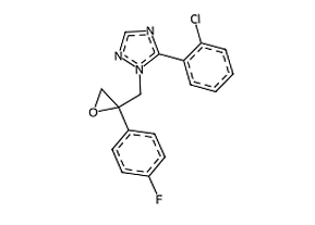 Fc1ccc(C2(Cn3ncnc3-c3ccccc3Cl)CO2)cc1